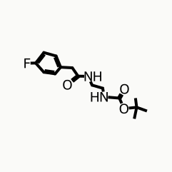 CC(C)(C)OC(=O)NCCNC(=O)Cc1ccc(F)cc1